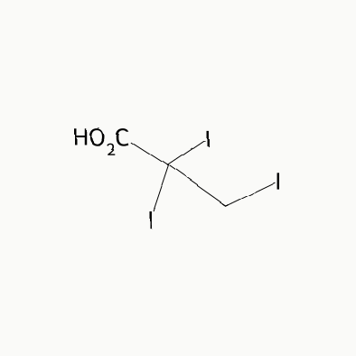 O=C(O)C(I)(I)CI